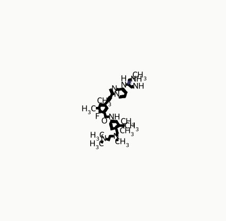 CN/C=C(\C=N)Nc1cccn2c(C#CC3=C(C)C(C)C(F)C(C(=O)Nc4ccc(CN(C)CCN(C)C)c(C(C)(C)C)c4)=C3)cnc12